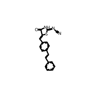 N#CN=C1NC(=O)C(=Cc2ccc(C=Cc3ccccc3)cc2)S1